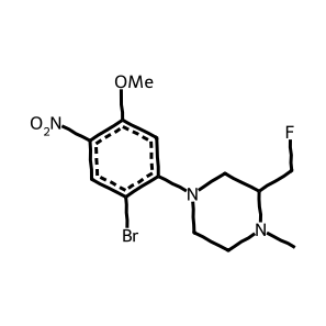 COc1cc(N2CCN(C)C(CF)C2)c(Br)cc1[N+](=O)[O-]